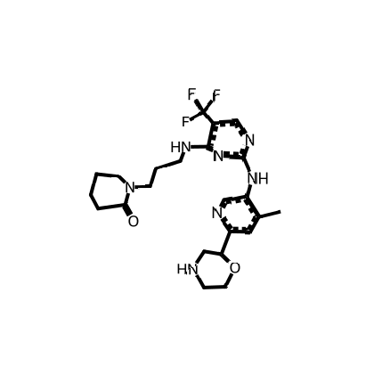 Cc1cc(C2CNCCO2)ncc1Nc1ncc(C(F)(F)F)c(NCCCN2CCCCC2=O)n1